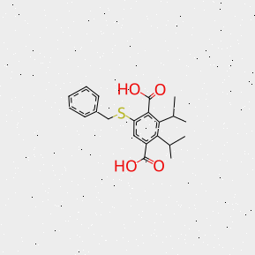 CC(C)c1c(C(=O)O)cc(SCc2ccccc2)c(C(=O)O)c1C(C)C